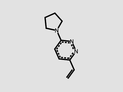 C=Cc1ccc(N2CCCC2)nn1